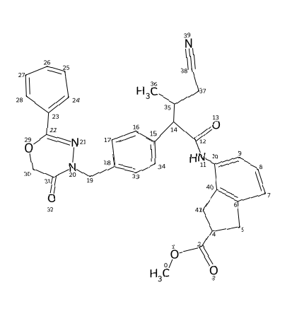 COC(=O)C1Cc2cccc(NC(=O)C(c3ccc(CN4N=C(c5ccccc5)OCC4=O)cc3)C(C)CC#N)c2C1